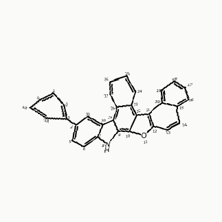 c1ccc(-c2ccc3[nH]c4c5oc6ccc7ccccc7c6c5c5ccccc5c4c3c2)cc1